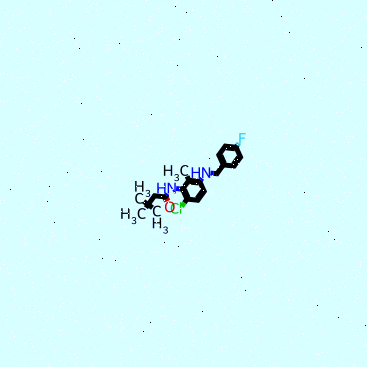 Cc1c(NCc2ccc(F)cc2)ccc(Cl)c1NC(=O)CC(C)(C)C